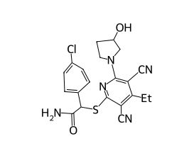 CCc1c(C#N)c(SC(C(N)=O)c2ccc(Cl)cc2)nc(N2CCC(O)C2)c1C#N